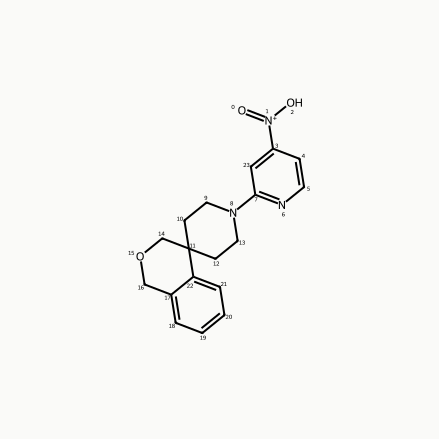 O=[N+](O)c1ccnc(N2CCC3(CC2)COCc2ccccc23)c1